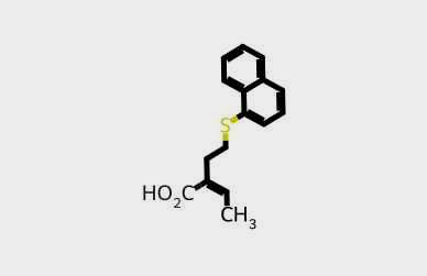 CC=C(CCSc1cccc2ccccc12)C(=O)O